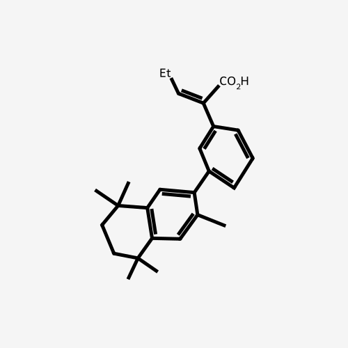 CCC=C(C(=O)O)c1cccc(-c2cc3c(cc2C)C(C)(C)CCC3(C)C)c1